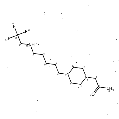 CC(=O)CN1CCN(CCCCCNCC(F)(F)F)CC1